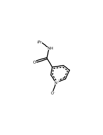 CC(C)NC(=O)c1ccc[n+]([O-])c1